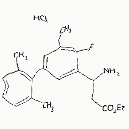 CCOC(=O)CC(N)c1cc(-c2c(C)cccc2C)cc(C)c1F.Cl